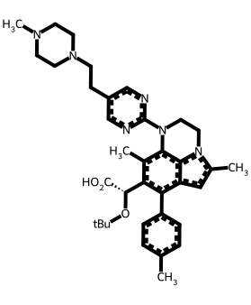 Cc1ccc(-c2c([C@H](OC(C)(C)C)C(=O)O)c(C)c3c4c2cc(C)n4CCN3c2ncc(CCN3CCN(C)CC3)cn2)cc1